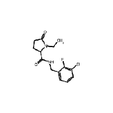 CCN1C(=O)CCC1C(=O)NCc1cccc(Cl)c1F